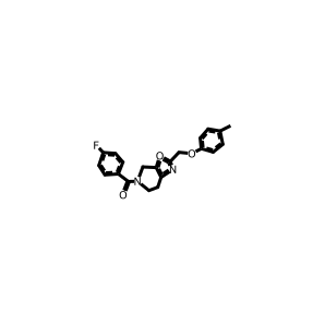 Cc1ccc(OCc2nc3c(o2)CN(C(=O)c2ccc(F)cc2)CC3)cc1